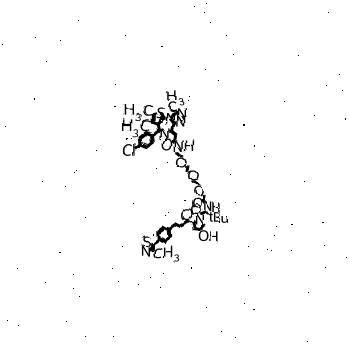 Cc1ncsc1-c1ccc(CCC(=O)[C@@H]2CC(O)CN2C(=O)[C@@H](NC(=O)COCCOCCOCCNC(=O)CC2N=C(c3ccc(Cl)cc3)c3c(sc(C)c3C)-n3c(C)nnc32)C(C)(C)C)cc1